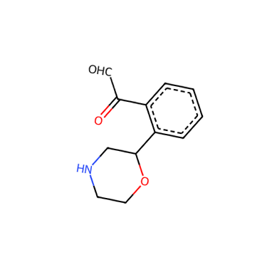 O=CC(=O)c1ccccc1C1CNCCO1